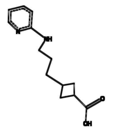 O=C(O)C1CC(CCCNc2ccccn2)C1